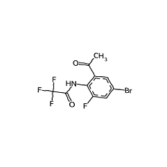 CC(=O)c1cc(Br)cc(F)c1NC(=O)C(F)(F)F